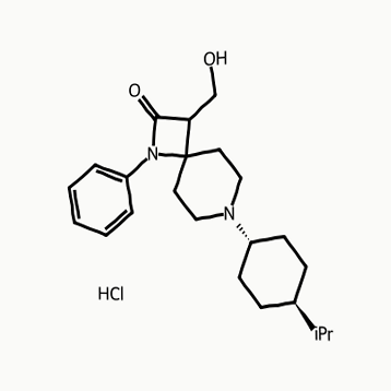 CC(C)[C@H]1CC[C@H](N2CCC3(CC2)C(CO)C(=O)N3c2ccccc2)CC1.Cl